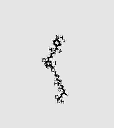 CC(CCC(=O)O)CC(=O)CNCCOCCOCC(=O)NC(CCCCNC(=O)c1ccc(N)cc1)C(N)=O